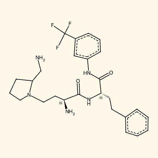 NCC1CCCN1CC[C@H](N)C(=O)N[C@@H](CCc1ccccc1)C(=O)Nc1cccc(C(F)(F)F)c1